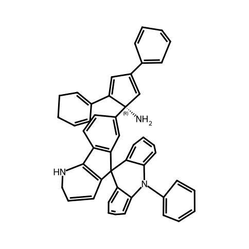 N[C@@]1(c2ccc3c(c2)C2(C4=C3NCC=C4)c3ccccc3N(c3ccccc3)c3ccccc32)C=C(c2ccccc2)C=C1C1=CCCC=C1